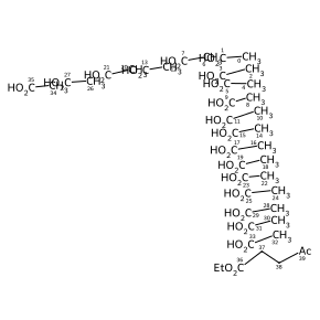 CC(=O)O.CC(=O)O.CC(=O)O.CC(=O)O.CC(=O)O.CC(=O)O.CC(=O)O.CC(=O)O.CC(=O)O.CC(=O)O.CC(=O)O.CC(=O)O.CC(=O)O.CC(=O)O.CC(=O)O.CC(=O)O.CC(=O)O.CC(=O)O.CCOC(=O)CCC(C)=O